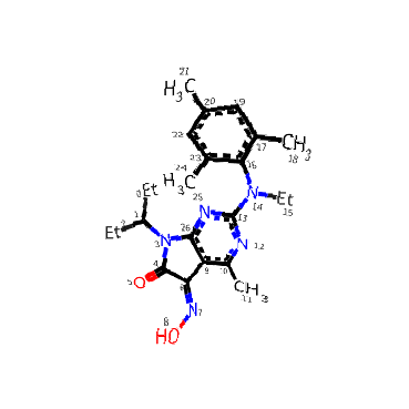 CCC(CC)N1C(=O)C(=NO)c2c(C)nc(N(CC)c3c(C)cc(C)cc3C)nc21